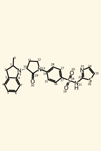 CC1Cc2ccccc2N1[C@@H]1CCN(c2ccc(S(=O)(=O)Nc3nccs3)cc2)C1=O